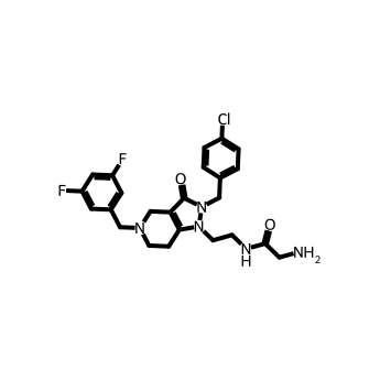 NCC(=O)NCCn1c2c(c(=O)n1Cc1ccc(Cl)cc1)CN(Cc1cc(F)cc(F)c1)CC2